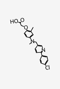 Cc1cc(N(C)Cc2ccc(-c3ccc(Cl)cc3)nc2)ccc1OCC(=O)O